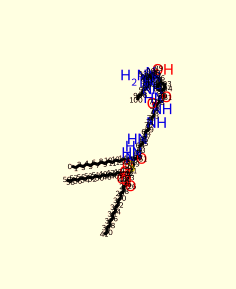 CCCCCCCCCCCCCCCC(=O)N[C@@H](CSCC(COC(=O)CCCCCCCCCCCCCCC)OC(=O)CCCCCCCCCCCCCCC)C(=O)NCCCNCCCCNCCCNC(=O)CNC(=O)c1ccc(Cn2c(O)nc3c(N)nc(NCCCC)nc32)cc1